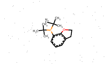 CC(C)(C)P(c1cccc2c1OCC2)C(C)(C)C